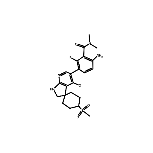 CN(C)C(=O)c1c(N)ccc(-c2cnc3c(c2Cl)C2(CCC(S(C)(=O)=O)CC2)CN3)c1F